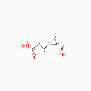 O=C[C@H]1C[C@@H]1CCC(=O)O